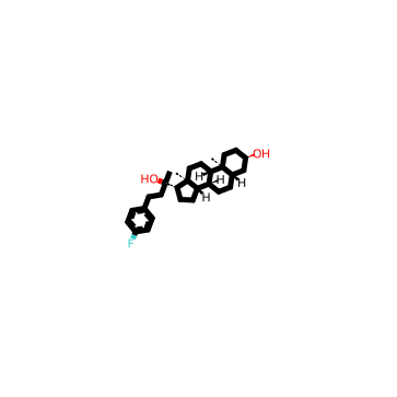 CC(O)(CCc1ccc(F)cc1)[C@H]1CC[C@H]2[C@@H]3CC[C@H]4C[C@@H](O)CC[C@]4(C)[C@H]3CC[C@]12C